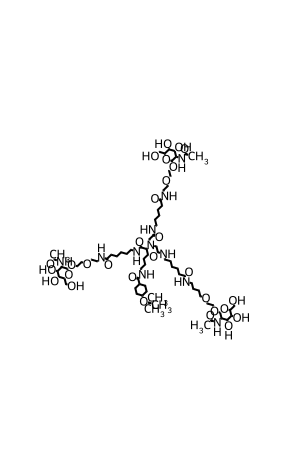 CC(=O)NC1C(OCCOCCCCNC(=O)CCCCCNC(=O)CN(CC(=O)NCCCCCC(=O)NCCOCCOC2OC(CO)C(O)C(O)C2NC(C)=O)C(CCCCNC(=O)C2CCC(OC(C)(C)C)CC2)C(=O)NCCCCCC(=O)NCCOCCOC2OC(CO)C(O)C(O)C2NC(C)=O)OC(CO)C(O)C1O